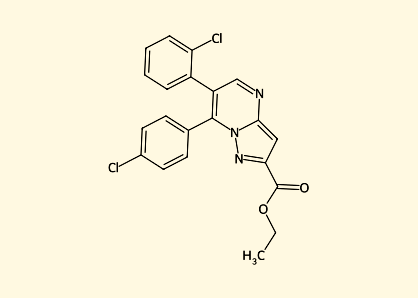 CCOC(=O)c1cc2ncc(-c3ccccc3Cl)c(-c3ccc(Cl)cc3)n2n1